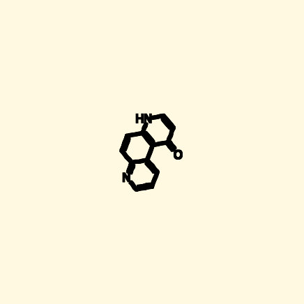 O=c1cc[nH]c2ccc3ncccc3c12